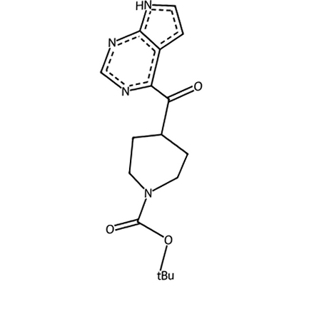 CC(C)(C)OC(=O)N1CCC(C(=O)c2ncnc3[nH]ccc23)CC1